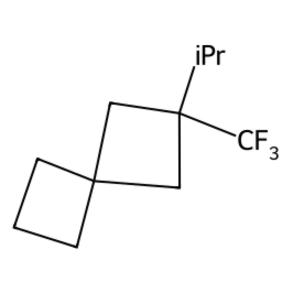 CC(C)C1(C(F)(F)F)CC2(CCC2)C1